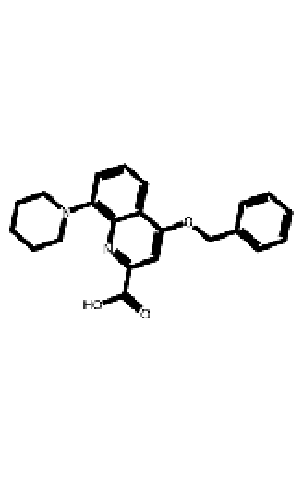 O=C(O)c1cc(OCc2ccccc2)c2cccc(N3CCCCC3)c2n1